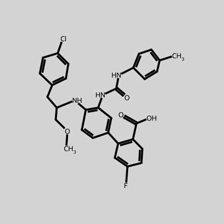 COCC(Cc1ccc(Cl)cc1)Nc1ccc(-c2cc(F)ccc2C(=O)O)cc1NC(=O)Nc1ccc(C)cc1